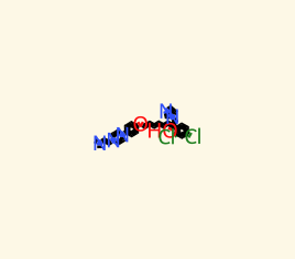 CN(C)CCN1CCN(c2ccc(OCCCCCCC(O)(Cn3ccnc3)c3ccc(Cl)cc3Cl)cc2)CC1